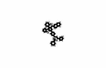 c1ccc(-c2cc(-c3ccc(-c4cc5c(-c6ccc7ccccc7c6)nc6ccccc6c5c5c4sc4ccccc45)cc3)nc(-c3ccccc3)n2)cc1